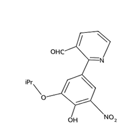 CC(C)Oc1cc(-c2ncccc2C=O)cc([N+](=O)[O-])c1O